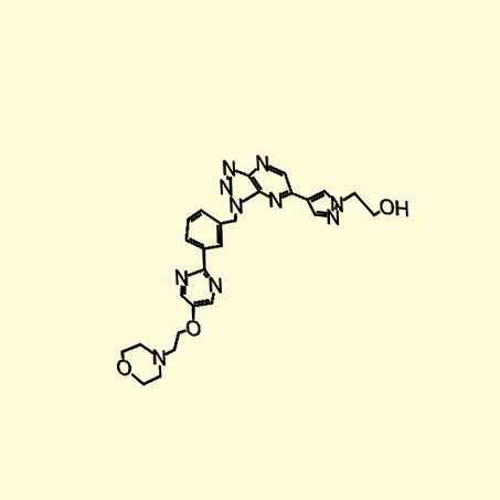 OCCn1cc(-c2cnc3nnn(Cc4cccc(-c5ncc(OCCN6CCOCC6)cn5)c4)c3n2)cn1